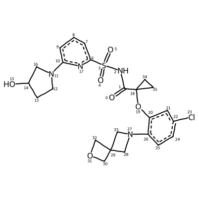 O=C(NS(=O)(=O)c1cccc(N2CCC(O)C2)n1)C1(Oc2cc(Cl)ccc2N2CC3(COC3)C2)CC1